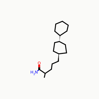 CC(CCC[C@H]1CC[C@H](C2CCCCC2)CC1)C(N)=O